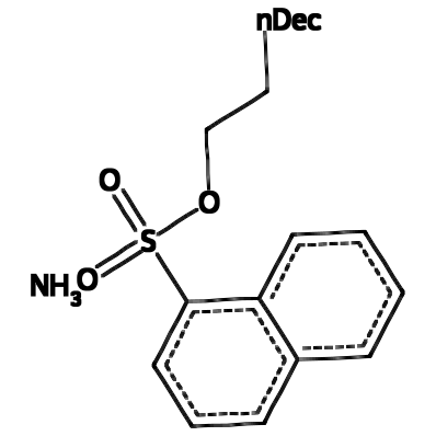 CCCCCCCCCCCCOS(=O)(=O)c1cccc2ccccc12.N